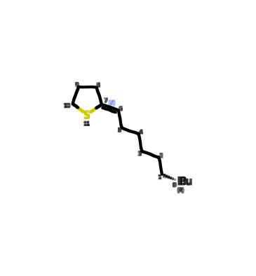 CC[C@@H](C)CCCCC/C=C1/CCCS1